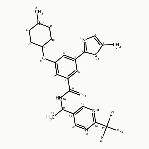 Cc1cnc(-c2cc(OC3CCN(C)CC3)cc(C(=O)NC(C)c3cnc(C(F)(F)F)nc3)c2)s1